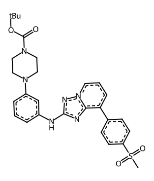 CC(C)(C)OC(=O)N1CCN(c2cccc(Nc3nc4c(-c5ccc(S(C)(=O)=O)cc5)cccn4n3)c2)CC1